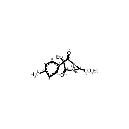 CCOC(=O)C1N2C(=O)C(CC)(c3ccc(C)cc3)C(=O)N12